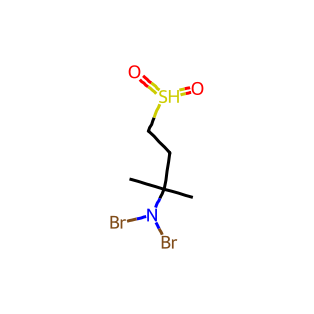 CC(C)(CC[SH](=O)=O)N(Br)Br